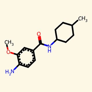 COc1cc(C(=O)NC2CCC(C)CC2)ccc1N